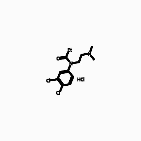 CCC(=O)N(CCN(C)C)c1ccc(Cl)c(Cl)c1.Cl